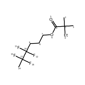 CCC(C)(C)C(=O)OCCCC(F)(F)C(C)(F)F